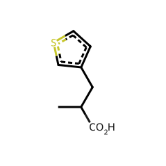 CC(Cc1ccsc1)C(=O)O